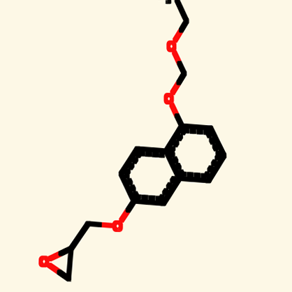 CCOCOc1cccc2cc(OCC3CO3)ccc12